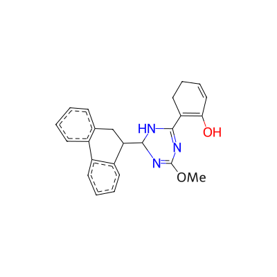 COC1=NC(C2Cc3ccccc3-c3ccccc32)NC(C2=C(O)C=CCC2)=N1